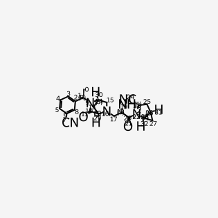 C[C@H](c1cccc(C#N)c1)N1C(=O)[C@@H]2C[C@H]1CN2C[C@H](N)C(=O)N1[C@H](C#N)C[C@@H]2C[C@@H]21